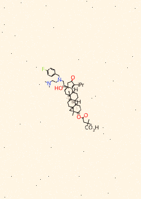 CC(C)C1=C2[C@H]3CC[C@@H]4[C@@]5(C)CC[C@H](OC(=O)CC(C)(C)C(=O)O)C6(C)C[C@]65CC[C@@]4(C)[C@]3(C)CC[C@@]2([C@H](O)CN(CCN(C)C)Cc2ccc(F)cc2)CC1=O